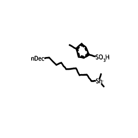 CCCCCCCCCCCCCCCCC[CH2][Sn]([CH3])[CH3].Cc1ccc(S(=O)(=O)O)cc1